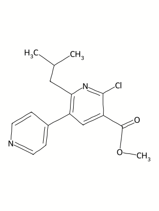 COC(=O)c1cc(-c2ccncc2)c(CC(C)C)nc1Cl